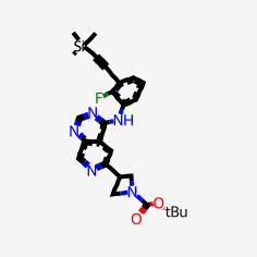 CC(C)(C)OC(=O)N1CC(c2cc3c(Nc4cccc(C#C[Si](C)(C)C)c4F)ncnc3cn2)C1